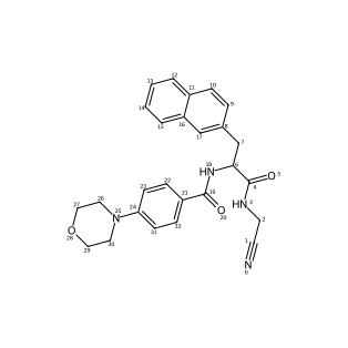 N#CCNC(=O)C(Cc1ccc2ccccc2c1)NC(=O)c1ccc(N2CCOCC2)cc1